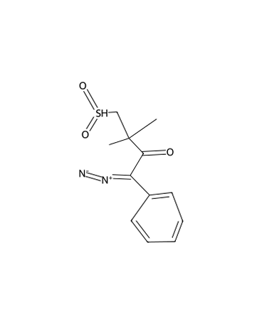 CC(C)(C[SH](=O)=O)C(=O)C(=[N+]=[N-])c1ccccc1